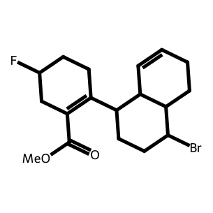 COC(=O)C1=C(C2CCC(Br)C3CCC=CC23)CCC(F)C1